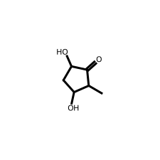 CC1C(=O)C(O)CC1O